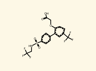 O=C(O)COc1ccc(C(F)(F)F)cc1-c1ccc(S(=O)(=O)NCC(F)(F)F)cc1